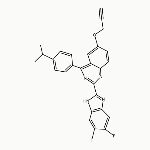 C#CCOc1ccc2nc(-c3nc4cc(F)c(F)cc4[nH]3)nc(-c3ccc(C(C)C)cc3)c2c1